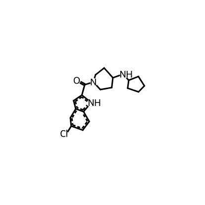 O=C(c1cc2cc(Cl)ccc2[nH]1)N1CCC(NC2CCCC2)CC1